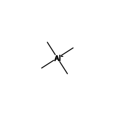 [CH3][Al-]([CH3])([CH3])[CH3]